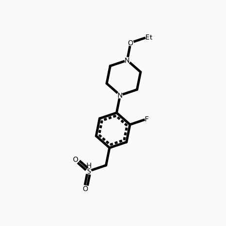 CCON1CCN(c2ccc(C[SH](=O)=O)cc2F)CC1